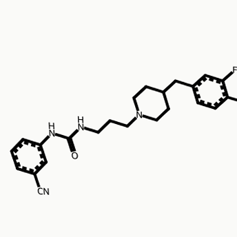 N#Cc1cccc(NC(=O)NCCCN2CCC(Cc3ccc(F)c(F)c3)CC2)c1